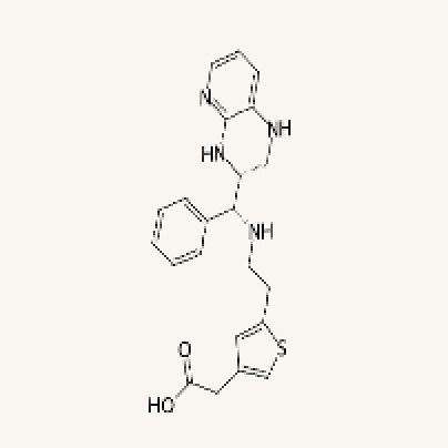 O=C(O)Cc1csc(CCN[C@H](c2ccccc2)[C@H]2CNc3cccnc3N2)c1